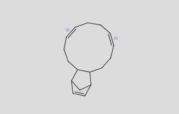 C1=CC2CC1C1CC/C=C\CC/C=C\CCC21